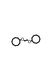 C1CCCCC(OCCOC2CCCCCCCC2)CCC1